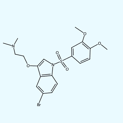 COc1ccc(S(=O)(=O)n2cc(OCCN(C)C)c3cc(Br)ccc32)cc1OC